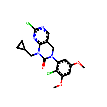 COc1cc(OC)c(Cl)c(N2Cc3cnc(Cl)nc3N(CC3CC3)C2=O)c1